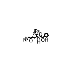 CC(C)OC(=O)[C@H](CCC(=O)C=[N+]=[N-])NC(=O)[C@@H](O)C1CCCC1